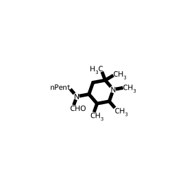 CCCCCN(C=O)C1CC(C)(C)N(C)C(C)C1C